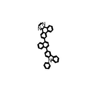 c1ccc(-n2c3ccccc3c3cc(-c4ccc(-c5ccc6c(c5)c5ccccc5c5nccnc65)c5ccccc45)ccc32)cc1